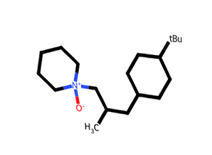 CC(CC1CCC(C(C)(C)C)CC1)C[N+]1([O-])CCCCC1